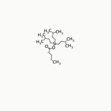 CCC[CH]C(=O)O[Si](CCC(C)C)(CCC(C)C)CCC(C)C